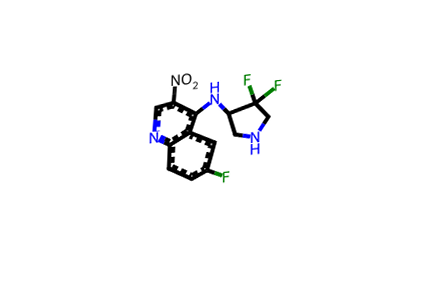 O=[N+]([O-])c1cnc2ccc(F)cc2c1NC1CNCC1(F)F